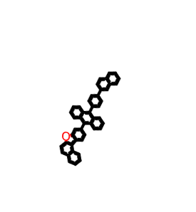 c1ccc2cc(-c3ccc(-c4c5ccccc5c(-c5ccc6c(c5)oc5ccc7ccccc7c56)c5ccccc45)cc3)ccc2c1